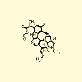 C/C=C(\C=NC)c1cnc2[nH]c3c(N(C)C(=O)OCCl)cc(F)c(C#N)c3c2c1N1CC[C@H]2CN(C)C[C@H]21